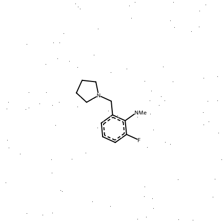 CNc1c(F)cccc1CN1CCCC1